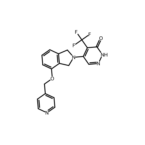 O=c1[nH]ncc(N2Cc3cccc(OCc4ccncc4)c3C2)c1C(F)(F)F